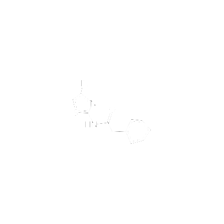 CCc1csc(NC(=O)Cc2ccccc2)n1